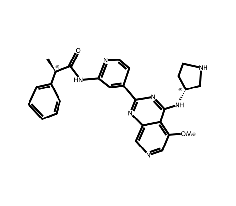 COc1cncc2nc(-c3ccnc(NC(=O)[C@H](C)c4ccccc4)c3)nc(N[C@@H]3CCNC3)c12